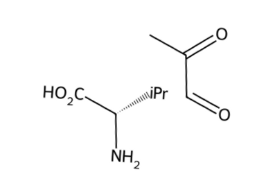 CC(=O)C=O.CC(C)[C@H](N)C(=O)O